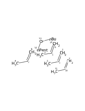 C=CC.C=CC.C=CC.C=CC.CCCCCOCCCC